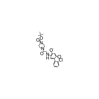 COc1cc(Cl)c(-c2ccccc2Cl)cc1NCC(=O)N1CCN(C(=O)OC(C)(C)C)CC1